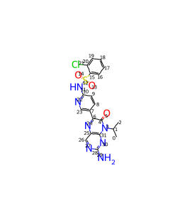 CC(C)n1c(=O)c(-c2ccc(NS(=O)(=O)c3ccccc3Cl)nc2)nc2cnc(N)nc21